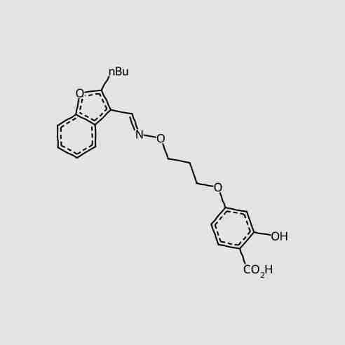 CCCCc1oc2ccccc2c1C=NOCCCOc1ccc(C(=O)O)c(O)c1